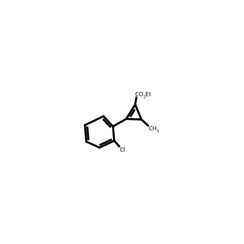 CCOC(=O)C1=C(c2ccccc2Cl)C1C